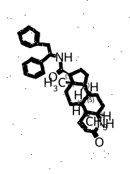 C[C@]12C=CC(=O)N[C@@H]1CC[C@@H]1[C@@H]2CC[C@]2(C)[C@@H](C(=O)NC(Cc3ccccc3)c3ccccc3)CC[C@@H]12